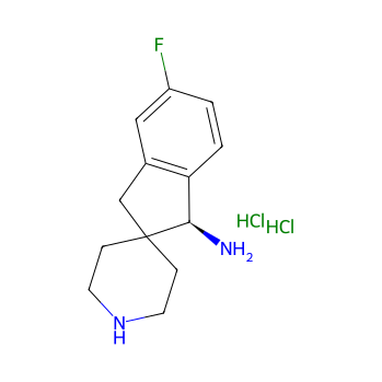 Cl.Cl.N[C@@H]1c2ccc(F)cc2CC12CCNCC2